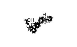 CC(O)CCOc1nn2cccc(-c3ccc(N4CCC(C)(NC(=O)c5ccccn5)CC4)nc3)c2c1C#N